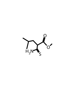 COC(=O)C(CC(C)C)C(N)=S